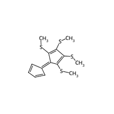 CSC1=C(SC)C(=C2C=CC=C2)C(SC)=C1SC